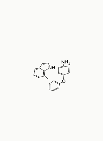 Cc1cccc2cc[nH]c12.Nc1ccc(Oc2ccccc2)cc1